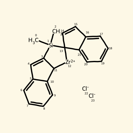 C[Si]1(C)C2=Cc3ccccc3[CH]2[Zr+2][C]12C=Cc1ccccc12.[Cl-].[Cl-]